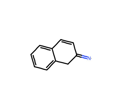 [N]=C1C=Cc2ccccc2C1